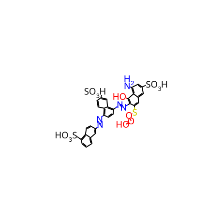 Nc1cc(S(=O)(=O)O)cc2cc(SOOO)c(N=Nc3ccc(N=Nc4ccc5c(S(=O)(=O)O)cccc5c4)c4ccc(S(=O)(=O)O)cc34)c(O)c12